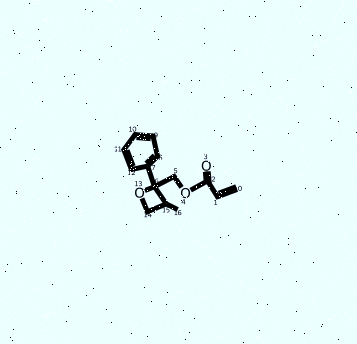 C=CC(=O)OCC1(c2ccccc2)OCC1C